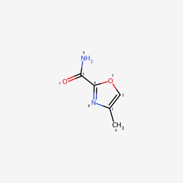 Cc1coc(C(N)=O)n1